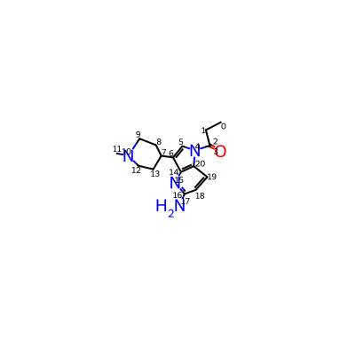 CCC(=O)n1cc(C2CCN(C)CC2)c2nc(N)ccc21